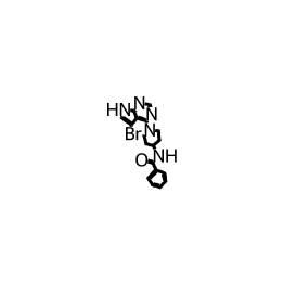 O=C(NC1CCN(c2ncnc3[nH]cc(Br)c23)CC1)c1ccccc1